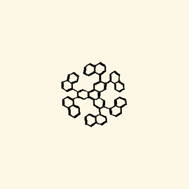 c1ccc2c(-c3cc4c5cc(-c6cccc7ccccc67)c(-c6cccc7ccccc67)cc5c5cc(-c6cccc7ccccc67)c(-c6cccc7ccccc67)cc5c4cc3-c3cccc4ccccc34)cccc2c1